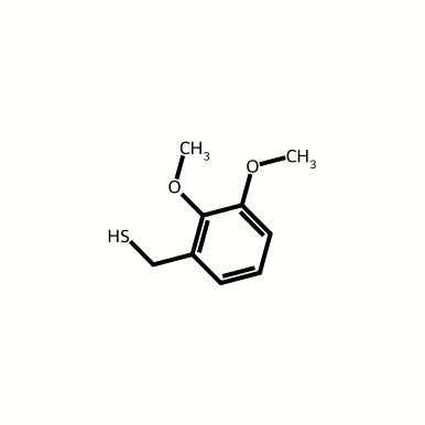 COc1cccc(CS)c1OC